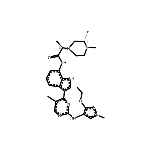 CCOc1nn(C)cc1Nc1ncc(C)c(-c2c[nH]c3c(NC(=O)[C@@H](C)N4CCN(C)[C@@H](C)C4)cccc23)n1